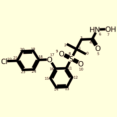 CC(C)(CC(=O)NO)S(=O)(=O)c1ccccc1Oc1ccc(Cl)cc1